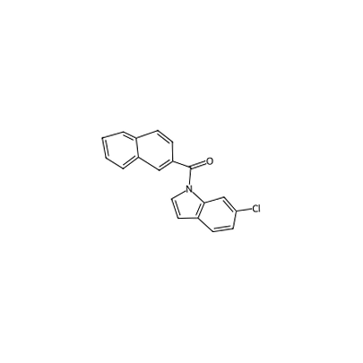 O=C(c1ccc2ccccc2c1)n1ccc2ccc(Cl)cc21